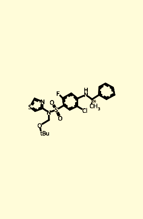 C[C@H](Nc1cc(F)c(S(=O)(=O)N(COC(C)(C)C)c2cscn2)cc1Cl)c1ccccc1